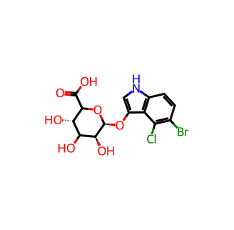 O=C(O)C1O[C@@H](Oc2c[nH]c3ccc(Br)c(Cl)c23)[C@@H](O)C(O)[C@@H]1O